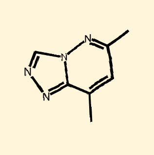 Cc1cc(C)c2nncn2n1